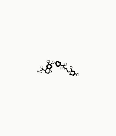 O=C(NCCn1ccc(Cl)cc1=O)c1ccc(Oc2cc3c(cc2Cl)C(C(=O)O)CCO3)cc1